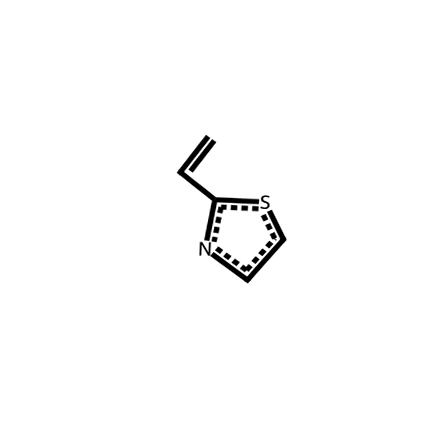 C=Cc1nccs1